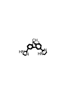 Cn1c2ccc(C3=NCCN3)cc2c2cc(C3=NCCN3)ccc21